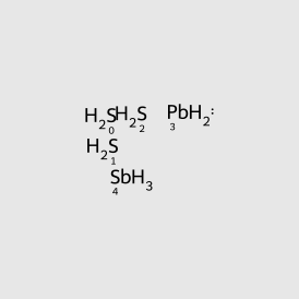 S.S.S.[PbH2].[SbH3]